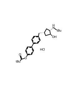 CC(C)(C)N[C@H]1C[C@@H](Cc2ccc(-c3ccc(OC(=O)C(C)(C)C)cc3)cc2)C[C@@H]1O.Cl